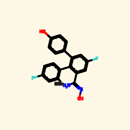 COc1cc(F)ccc1-c1c(/C(N)=N/O)cc(F)cc1-c1ccc(O)cc1